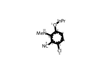 CCCOc1ccc(Cl)c(C#N)c1NC